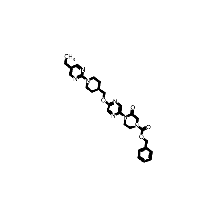 CCc1cnc(N2CCC(COc3cnc(N4CCN(C(=O)OCc5ccccc5)CC4=O)cn3)CC2)nc1